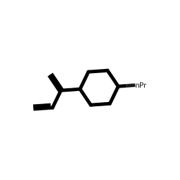 C=CC(=C)C1CCC(CCC)CC1